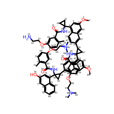 COc1cc(C2(NC(=O)c3cc(OCCN)ccc3C)CC2)c2ccc(C3CC3(NC(=O)c3cc(OCCN(C)C)ccc3C)c3cc(OC)cc4cc(C5CC5(NC(=O)c5cc(OCCN(C)C)ccc5C)c5cc(O)cc6ccccc56)ccc34)cc2c1